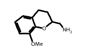 COc1cccc2c1OC(CN)CC2